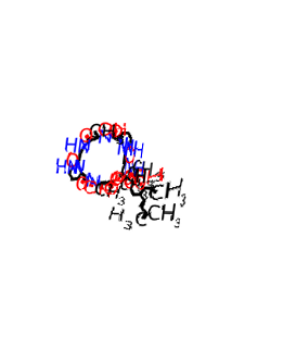 CCC1OC(O)(C(C)(O)C(=O)NC2C(=O)N3NCCCC3C(=O)N(O)C(C)C(=O)NCC(=O)N3NCCCC3C(=O)N(O)C(C)C(=O)OC2C(C)C)CCC1CCC(C)C